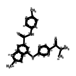 Cc1cnc(NC(=O)c2cc(Oc3cnc(C(=O)N(C)C)cn3)c3cc(C)oc3c2)cn1